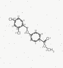 COC(=O)c1ccc(OCc2ccc(Cl)cc2Cl)cc1